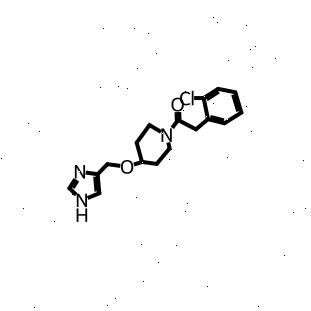 O=C(Cc1ccccc1Cl)N1CCC(OCc2c[nH]cn2)CC1